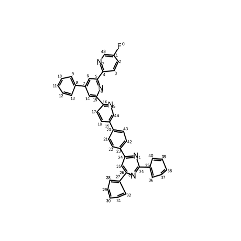 Fc1ccc(-c2cc(-c3ccccc3)cc(-c3ccc(-c4ccc(-c5cc(-c6ccccc6)nc(-c6ccccc6)n5)cc4)cn3)n2)nc1